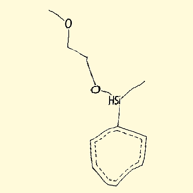 COCCO[SiH](C)c1ccccc1